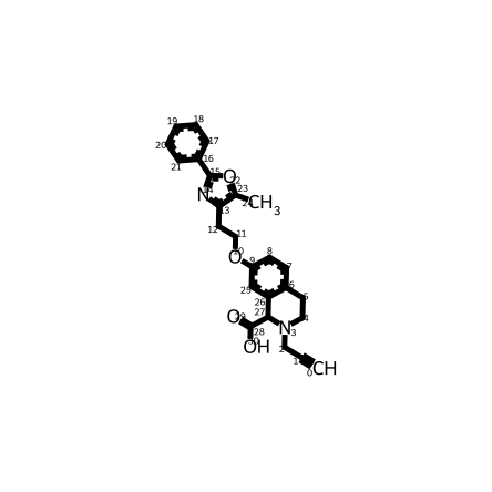 C#CCN1CCc2ccc(OCCc3nc(-c4ccccc4)oc3C)cc2C1C(=O)O